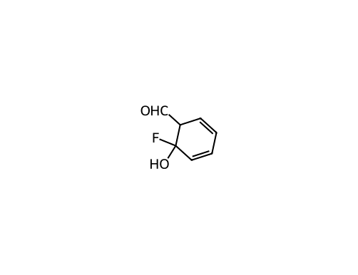 O=CC1C=CC=CC1(O)F